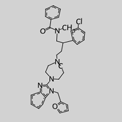 CN(CC(CCN1CCCN(c2nc3ccccc3n2Cc2ccco2)CC1)c1cccc(Cl)c1)C(=O)c1ccccc1